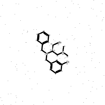 CCc1cccc(CN(Cc2ccccc2)[C@@H](CC(C)C)CN(C)C)c1